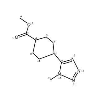 COC(=O)C1CCC(c2nnnn2C)CC1